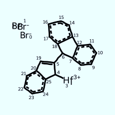 [Br-].[Br-].[Br-].[Hf+3][CH]1C(C2c3ccccc3-c3ccccc32)=Cc2ccccc21